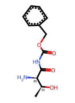 C[C@H](O)[C@@H](N)C(=O)NC(=O)OCc1ccccc1